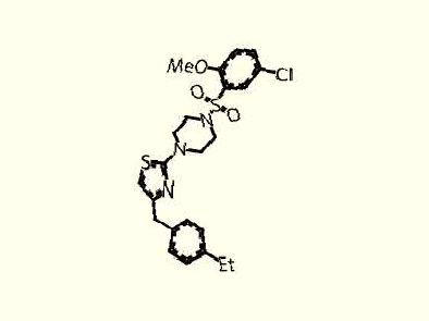 CCc1ccc(Cc2csc(N3CCN(S(=O)(=O)c4cc(Cl)ccc4OC)CC3)n2)cc1